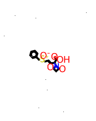 O=C(O)C1C(=CC[S+]([O-])Cc2ccccc2)OC2CC(=O)N21